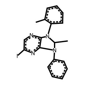 Cc1ccccc1N1c2ncc(I)nc2N(c2ccccc2)C1C